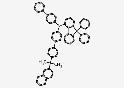 CC(C)(c1ccc(-c2ccc(N(c3ccc(-c4ccccc4)cc3)c3cccc4c3-c3ccccc3C4(c3ccccc3)c3ccccc3)cc2)cc1)c1ccc2ccccc2c1